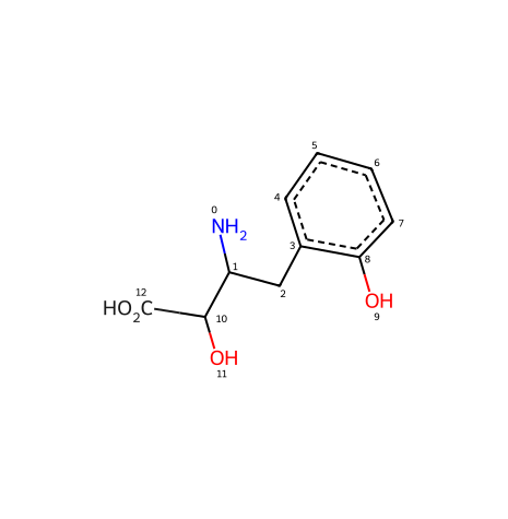 NC(Cc1ccccc1O)C(O)C(=O)O